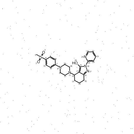 CS(=O)(=O)c1ccc(N2CCN(C3CCCc4nn(-c5ccccn5)c(O)c43)CC2)cc1